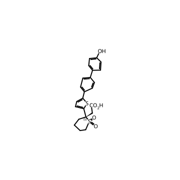 O=C(O)C[C@]1(c2ccc(-c3ccc(-c4ccc(O)cc4)cc3)s2)CCCCS1(=O)=O